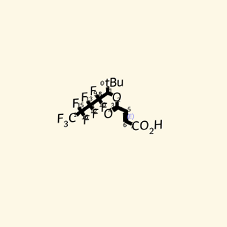 CC(C)(C)C(OC(=O)/C=C/C(=O)O)C(F)(F)C(F)(F)C(F)(F)C(F)(F)F